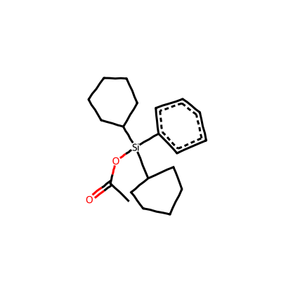 CC(=O)O[Si](c1ccccc1)(C1CCCCC1)C1CCCCC1